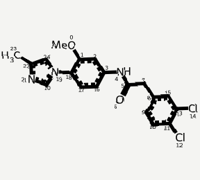 COc1cc(NC(=O)Cc2ccc(Cl)c(Cl)c2)ccc1-n1cnc(C)c1